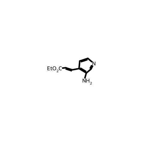 CCOC(=O)/C=C/c1ccncc1N